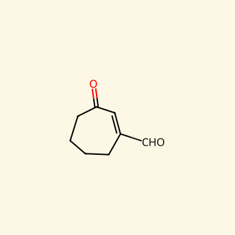 O=CC1=CC(=O)CCCC1